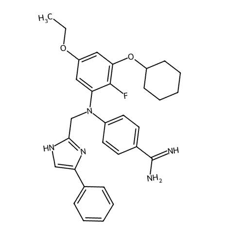 CCOc1cc(OC2CCCCC2)c(F)c(N(Cc2nc(-c3ccccc3)c[nH]2)c2ccc(C(=N)N)cc2)c1